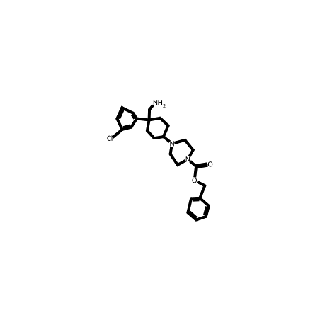 NCC1(c2cccc(Cl)c2)CCC(N2CCN(C(=O)OCc3ccccc3)CC2)CC1